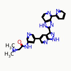 CN(C)CC(=O)Nc1cncc(-c2cnc3[nH]nc(-c4nc5c(-c6ccccn6)nccc5[nH]4)c3c2)c1